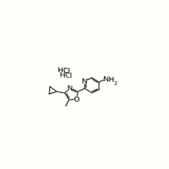 Cc1oc(-c2ccc(N)cn2)nc1C1CC1.Cl.Cl